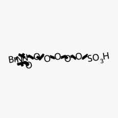 CC1(C)C(=O)N(CCOCCOCCOCCOCCOCCS(=O)(=O)O)C(C)(C)N1Br